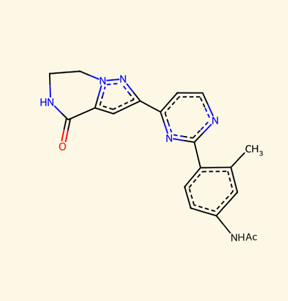 CC(=O)Nc1ccc(-c2nccc(-c3cc4n(n3)CCNC4=O)n2)c(C)c1